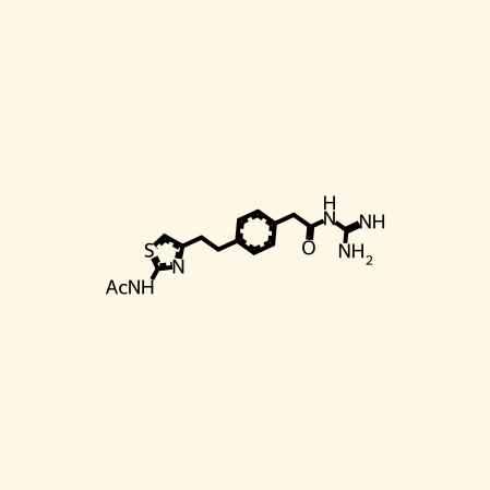 CC(=O)Nc1nc(CCc2ccc(CC(=O)NC(=N)N)cc2)cs1